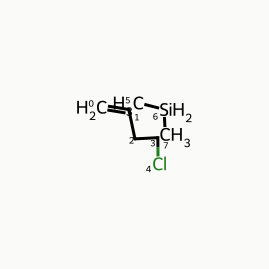 C=CCCCl.C[SiH2]C